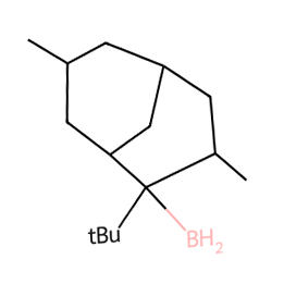 BC1(C(C)(C)C)C(C)CC2CC(C)CC1C2